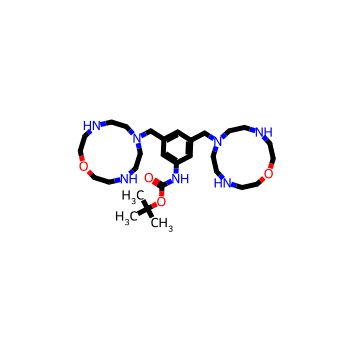 CC(C)(C)OC(=O)Nc1cc(CN2CCNCCOCCNCC2)cc(CN2CCNCCOCCNCC2)c1